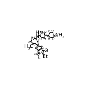 CCN1C(=O)c2cc(-c3nc(Nc4ccc(C5CCN(C)CC5)cn4)ncc3C)sc2C12CC2